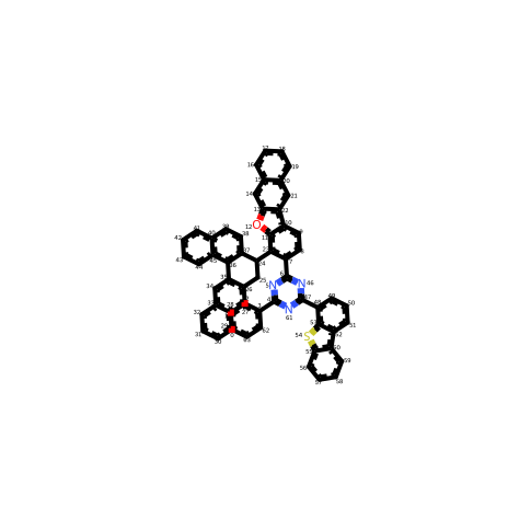 c1ccc(-c2nc(-c3ccc4c(oc5cc6ccccc6cc54)c3C3Cc4cc5ccccc5cc4-c4c3ccc3ccccc43)nc(-c3cccc4c3sc3ccccc34)n2)cc1